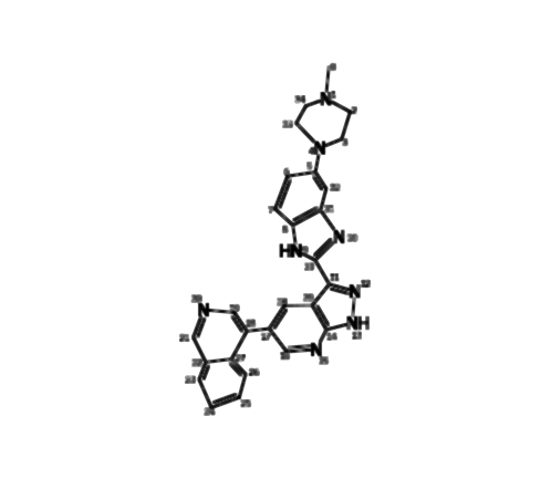 CN1CCN(c2ccc3[nH]c(-c4n[nH]c5ncc(-c6cncc7ccccc67)cc45)nc3c2)CC1